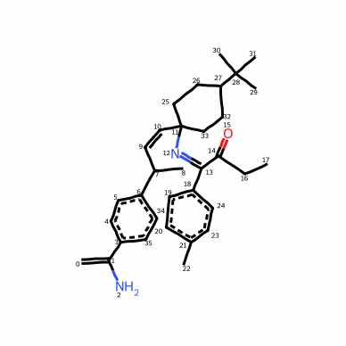 C=C(N)c1ccc(C(C)/C=C\C2(/N=C(\C(=O)CC)c3ccc(C)cc3)CCC(C(C)(C)C)CC2)cc1